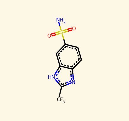 NS(=O)(=O)c1ccc2nc(C(F)(F)F)[nH]c2c1